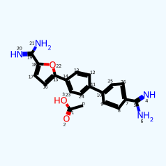 CC(=O)O.N=C(N)c1ccc(-c2ccc(-c3ccc(C(=N)N)o3)cc2)cc1